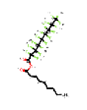 CCCCCCCCC(=O)OC(=O)C(F)(F)C(F)(F)C(F)(F)C(F)(F)C(F)(F)C(F)(F)C(F)(F)C(F)(F)F